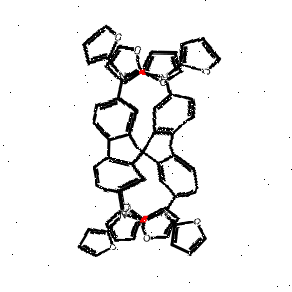 c1coc(N(c2ccc3c(c2)C2(c4cc(N(c5ccco5)c5ccco5)ccc4-3)c3cc(N(c4ccco4)c4ccco4)ccc3-c3ccc(N(c4ccco4)c4ccco4)cc32)c2ccco2)c1